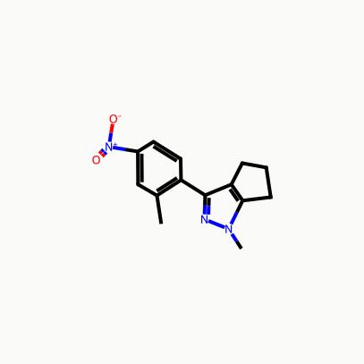 Cc1cc([N+](=O)[O-])ccc1-c1nn(C)c2c1CCC2